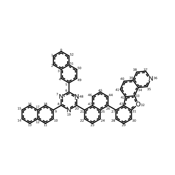 c1ccc2cc(-c3nc(-c4ccc5ccccc5c4)nc(-c4cccc5c(-c6cccc7oc8c9cnccc9ccc8c67)cccc45)n3)ccc2c1